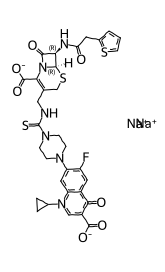 O=C(Cc1cccs1)N[C@@H]1C(=O)N2C(C(=O)[O-])=C(CNC(=S)N3CCN(c4cc5c(cc4F)c(=O)c(C(=O)[O-])cn5C4CC4)CC3)CS[C@H]12.[Na+].[Na+]